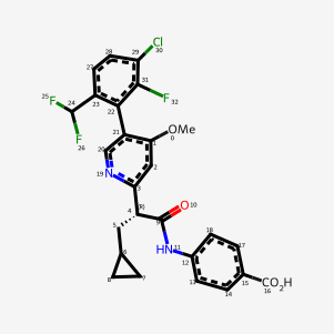 COc1cc([C@@H](CC2CC2)C(=O)Nc2ccc(C(=O)O)cc2)ncc1-c1c(C(F)F)ccc(Cl)c1F